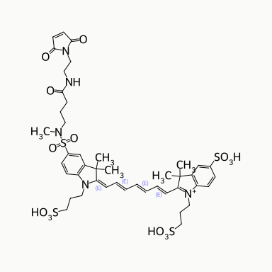 CN(CCCC(=O)NCCN1C(=O)C=CC1=O)S(=O)(=O)c1ccc2c(c1)C(C)(C)\C(=C/C=C/C=C/C=C/C1=[N+](CCCS(=O)(=O)O)c3ccc(S(=O)(=O)O)cc3C1(C)C)N2CCCS(=O)(=O)O